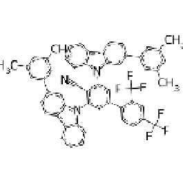 Cc1cc(C)cc(-c2ccc3c4ccccc4n(-c4cc(-c5ccc(C(F)(F)F)cc5C(F)(F)F)cc(-n5c6ccccc6c6ccc(-c7cc(C)cc(C)c7)cc65)c4C#N)c3c2)c1